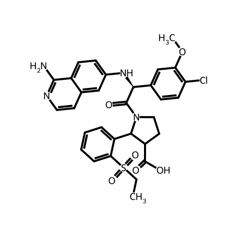 CCS(=O)(=O)c1ccccc1C1C(C(=O)O)CCN1C(=O)[C@@H](Nc1ccc2c(N)nccc2c1)c1ccc(Cl)c(OC)c1